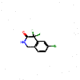 O=C1NCc2ccc(Br)cc2C1(F)F